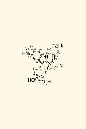 CC(C)(CC#N)c1c(C2CCC(O)(C(=O)O)CC2)c2nc3[nH]ncc3cc2n1-c1ccc(F)cc1